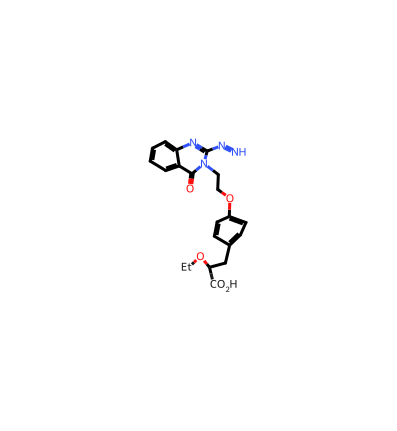 CCOC(Cc1ccc(OCCn2c(N=N)nc3ccccc3c2=O)cc1)C(=O)O